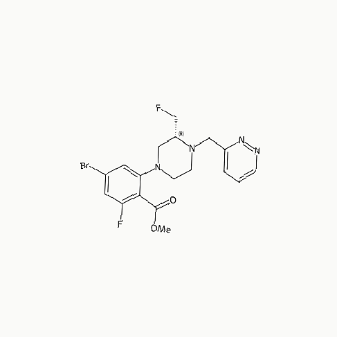 COC(=O)c1c(F)cc(Br)cc1N1CCN(Cc2cccnn2)[C@@H](CF)C1